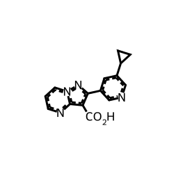 O=C(O)c1c(-c2cncc(C3CC3)c2)nn2cccnc12